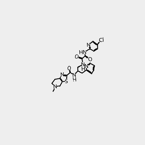 CN1CCc2nc(C(=O)NC(CNC(=O)C(=O)Nc3ccc(Cl)cn3)Cc3ccccn3)sc2C1